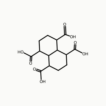 O=C(O)C1CCC(C(=O)O)C2C(C(=O)O)CCC(C(=O)O)C12